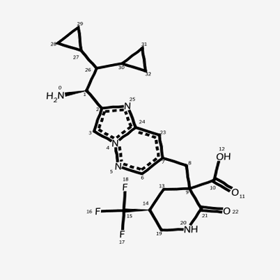 N[C@H](c1cn2ncc(CC3(C(=O)O)C[C@H](C(F)(F)F)CNC3=O)cc2n1)C(C1CC1)C1CC1